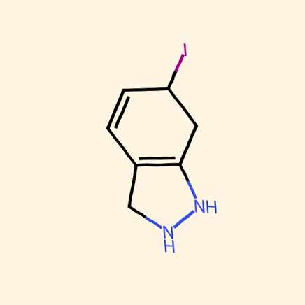 IC1C=CC2=C(C1)NNC2